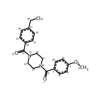 COc1ccc(C(=O)N2CCN(C(=O)c3ccc(CCl)cc3)CC2)cc1